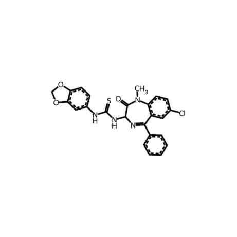 CN1C(=O)C(NC(=S)Nc2ccc3c(c2)OCO3)N=C(c2ccccc2)c2cc(Cl)ccc21